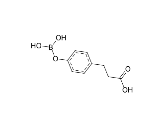 O=C(O)CCc1ccc(OB(O)O)cc1